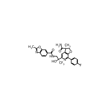 Cc1nc2ccc(C(=O)NC[C@](O)(c3cc4c(c(-c5ccc(F)cc5)n3)OC[C@]4(C)C(N)=O)C(F)(F)F)cc2o1